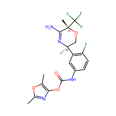 Cc1nc(OC(=O)Nc2ccc(F)c([C@]3(C)CO[C@@](C)(C(F)(F)F)C(N)=N3)c2)c(C)o1